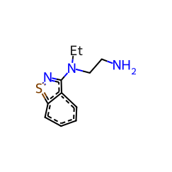 CCN(CCN)c1nsc2ccccc12